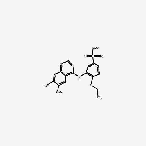 CNS(=O)(=O)c1ccc(OCC(F)(F)F)c(Nc2ncnc3cc(O)c(OC)cc23)c1